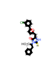 O=C(O)C(Cc1ccccc1)N1C(=O)/C(=C\c2ccc(-c3cccc(Cl)c3)o2)NC1=S